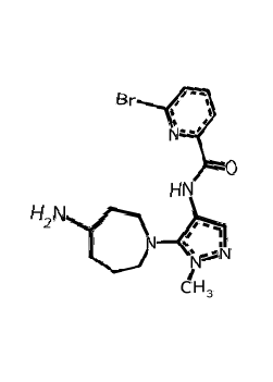 Cn1ncc(NC(=O)c2cccc(Br)n2)c1N1CCCC(N)CC1